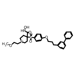 COCCN1CCC(C(=O)NO)(S(=O)(=O)c2ccc(OCCCc3cccc(-c4ccccc4)c3)cc2)CC1